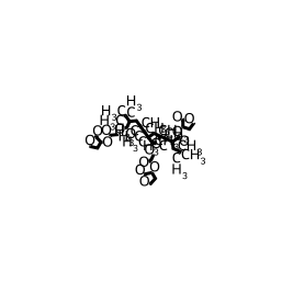 CC(C)(C)CC(C(=O)OC1CCOC1=O)C(C)(C)C(C)(C)CC(C)(C(=O)OCC(=O)OC1CCOC1=O)C(C)(C)C(C)(C)CC(C(=O)OCC(=O)OC1CCOC1=O)C(C)(C)C